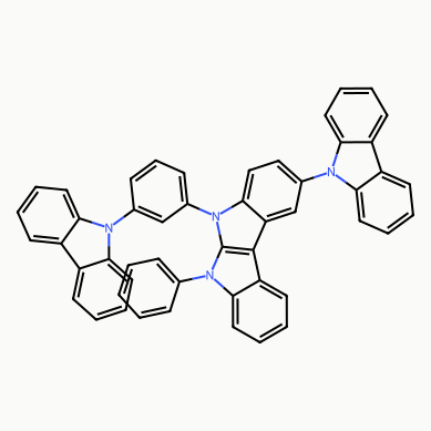 c1ccc(-n2c3ccccc3c3c4cc(-n5c6ccccc6c6ccccc65)ccc4n(-c4cccc(-n5c6ccccc6c6ccccc65)c4)c32)cc1